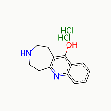 Cl.Cl.Oc1c2c(nc3ccccc13)CCNCC2